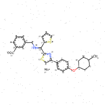 CC1CCC(Oc2ccc(-c3csc(C(NCc4cccc(C(=O)[O-])c4)c4cccs4)n3)cc2)CC1.[Na+]